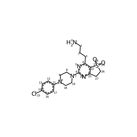 NCCCc1nc(N2CCN(c3ccc(Cl)cc3)CC2)nc2c1S(=O)(=O)CC2